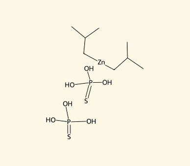 CC(C)[CH2][Zn][CH2]C(C)C.OP(O)(O)=S.OP(O)(O)=S